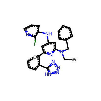 CC(C)CN(Cc1ccccc1)c1cc(Nc2cccnc2F)cc(-c2ccccc2-c2nnn[nH]2)n1